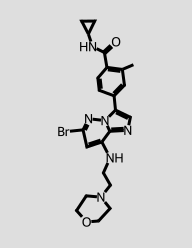 Cc1cc(-c2cnc3c(NCCN4CCOCC4)cc(Br)nn23)ccc1C(=O)NC1CC1